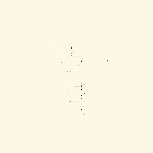 Nc1ccc2c(C=CC(=O)O)nn(Cc3ccc(Cl)cc3F)c2c1